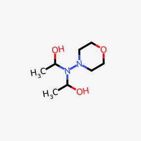 CC(O)N(C(C)O)N1CCOCC1